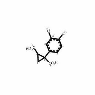 O=C(O)C1CC1(C(=O)O)c1ccc(Cl)c(Cl)c1